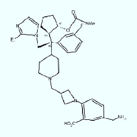 CCc1nccn1C[C@@](c1cccc(F)c1)(C1CCN(CC2CN(c3ccc(CN)cc3C(=O)O)C2)CC1)[C@H]1CCC[C@@H]1OC(=O)NC